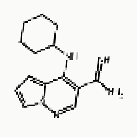 N=C(N)c1cnn2cccc2c1NC1CCCCC1